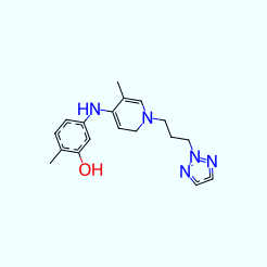 CC1=CN(CCCn2nccn2)CC=C1Nc1ccc(C)c(O)c1